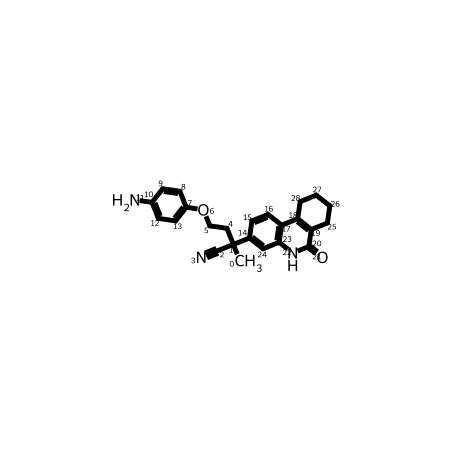 CC(C#N)(CCOc1ccc(N)cc1)c1ccc2c3c(c(=O)[nH]c2c1)CCCC3